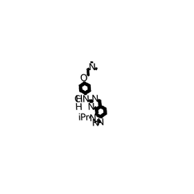 CC(C)n1nnc2ccc3cnc(Nc4ccc(OCCN(C)C)cc4)nc3c21.Cl